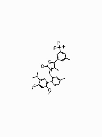 COc1cc(F)c(C(C)C)cc1-c1ccc(C)cc1CN1C(=O)SC(c2cc(C)cc(C(F)(F)F)c2)C1C